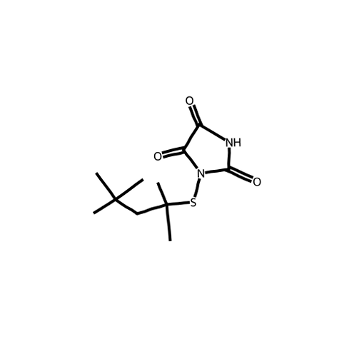 CC(C)(C)CC(C)(C)SN1C(=O)NC(=O)C1=O